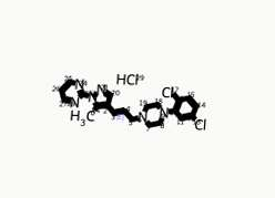 Cc1c(/C=C/CN2CCN(c3cc(Cl)ccc3Cl)CC2)cnn1-c1ncccn1.Cl